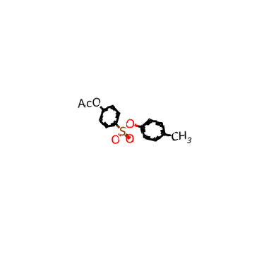 CC(=O)Oc1ccc(S(=O)(=O)Oc2ccc(C)cc2)cc1